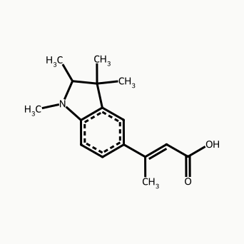 CC(=CC(=O)O)c1ccc2c(c1)C(C)(C)C(C)N2C